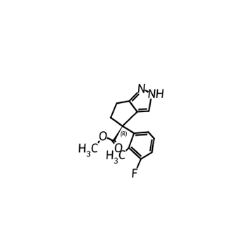 COC(=O)[C@@]1(c2cccc(F)c2C)CCc2n[nH]cc21